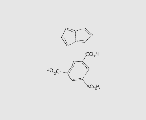 C1=CC2=CC=CC2=C1.O=C(O)c1cc(C(=O)O)cc(S(=O)(=O)O)c1